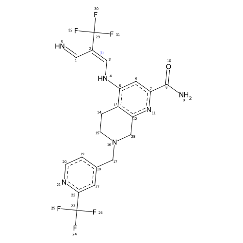 N=C/C(=C\Nc1cc(C(N)=O)nc2c1CCN(Cc1ccnc(C(F)(F)F)c1)C2)C(F)(F)F